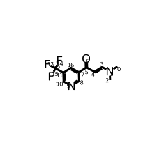 CN(C)/C=C/C(=O)c1cncc(C(F)(F)F)c1